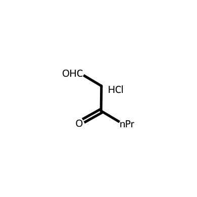 CCCC(=O)CC=O.Cl